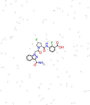 NC(=O)c1nn(CC(=O)N2C[C@H](F)C[C@H]2C(=O)Nc2cccc(C(=O)O)c2F)c2ccccc12